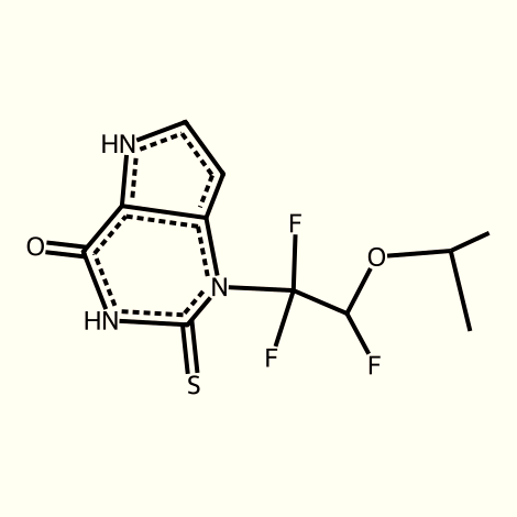 CC(C)OC(F)C(F)(F)n1c(=S)[nH]c(=O)c2[nH]ccc21